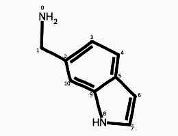 NCc1ccc2c[c][nH]c2c1